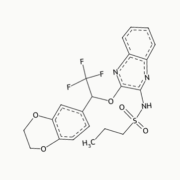 CCCS(=O)(=O)Nc1nc2ccccc2nc1OC(c1ccc2c(c1)OCCO2)C(F)(F)F